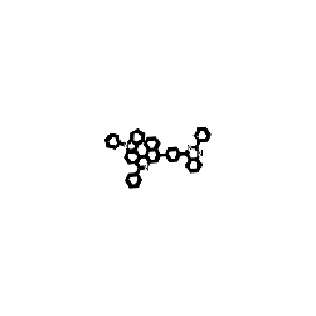 c1ccc(-c2nc(-c3ccc(-c4cc5nc(-c6ccccc6)c6ccc7c(c8ccccc8n7-c7ccccc7)c6c5c5ccccc45)cc3)c3ccccc3n2)cc1